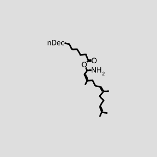 CCCCCCCCCCCCCCCC(=O)OC(N)C=C(C)CCC=C(C)CCC=C(C)C